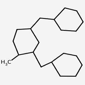 CC1CCC(CC2CCCCC2)CC1CC1CCCCC1